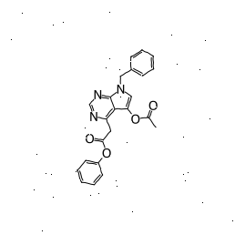 CC(=O)Oc1cn(Cc2ccccc2)c2ncnc(CC(=O)Oc3ccccc3)c12